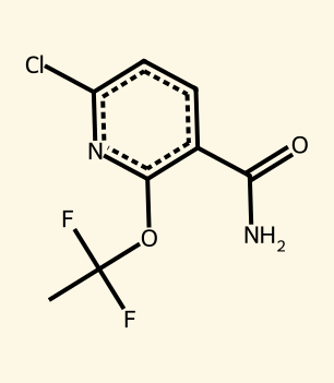 CC(F)(F)Oc1nc(Cl)ccc1C(N)=O